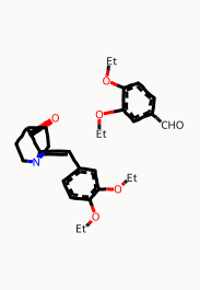 CCOc1ccc(C=C2C(=O)C3CCN2CC3)cc1OCC.CCOc1ccc(C=O)cc1OCC